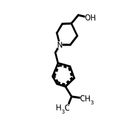 CC(C)c1ccc(CN2CCC(CO)CC2)cc1